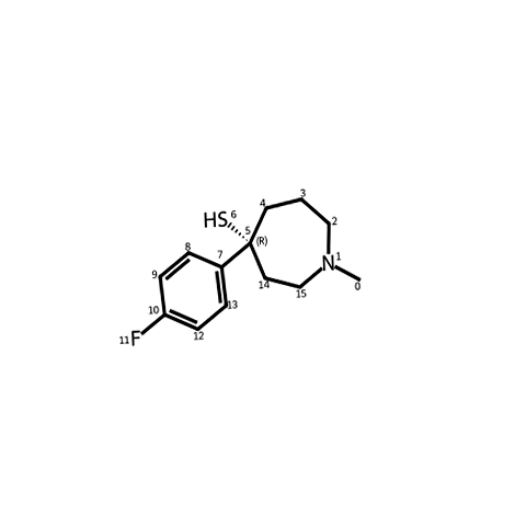 CN1CCC[C@](S)(c2ccc(F)cc2)CC1